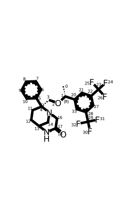 C[C@@H](OC[C@@]1(c2ccccc2)CCC2CN1CC(=O)N2)c1cc(C(F)(F)F)cc(C(F)(F)F)c1